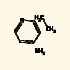 CC.N.c1ccncc1